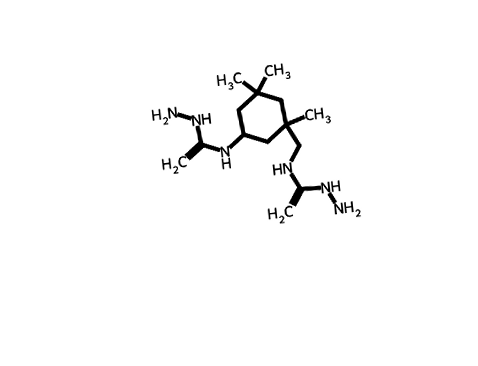 C=C(NN)NCC1(C)CC(NC(=C)NN)CC(C)(C)C1